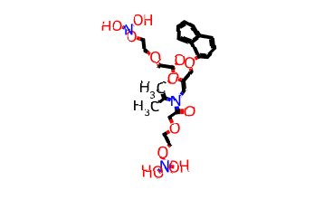 CC(C)N(CC(COc1cccc2ccccc12)OC(=O)COCCON(O)O)C(=O)COCCON(O)O